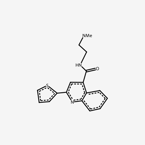 CNCCNC(=O)c1cc(-c2cccs2)nc2ccccc12